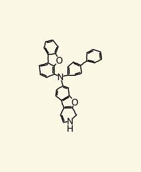 C1=Cc2c(oc3cc(N(c4ccc(-c5ccccc5)cc4)c4cccc5c4oc4ccccc45)ccc23)CN1